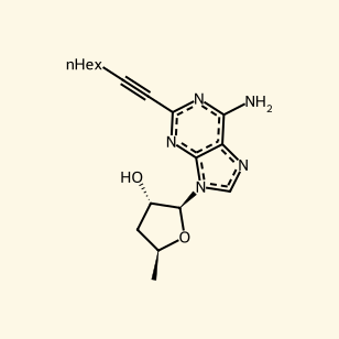 CCCCCCC#Cc1nc(N)c2ncn([C@H]3O[C@@H](C)C[C@@H]3O)c2n1